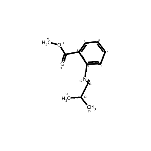 COC(=O)c1ccccc1N=CC(C)C